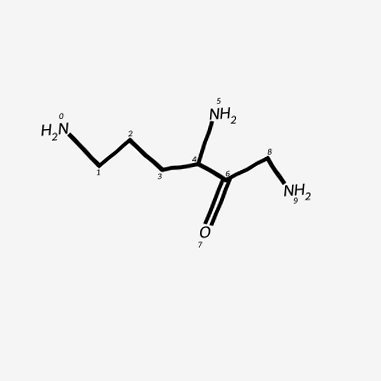 NCCCC(N)C(=O)CN